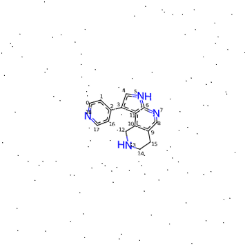 c1cc(-c2c[nH]c3ncc4c(c23)CNCC4)ccn1